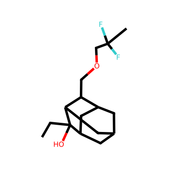 CCC1(O)C2CC3CC(C2)C(COCC(C)(F)F)C1C3